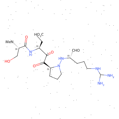 CN[C@@H](CO)C(=O)N[C@@H](CC(=O)O)C(=O)C(=O)[C@@H]1CCCN1N[C@H](C=O)CCCNC(N)N